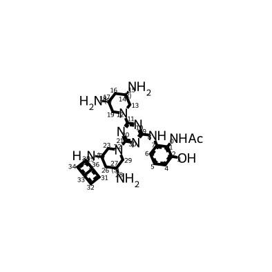 CC(=O)Nc1c(O)cccc1Nc1nc(N2C[C@H](N)C[C@H](N)C2)nc(N2C[C@H](N)C[C@H](N)C2)n1.c1cc2ccc1-2